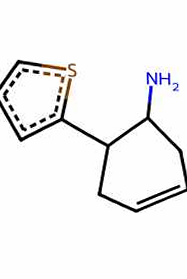 NC1CC=CCC1c1cccs1